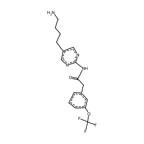 NCCCCc1cnc(NC(=O)Cc2cccc(OC(F)(F)F)c2)nc1